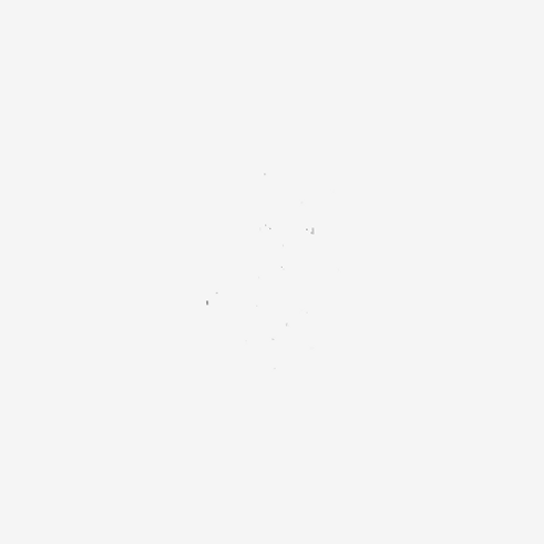 CC(C)Oc1cc(-c2nc(Br)c(C(F)(F)F)[nH]2)c(F)cc1C(C)(F)F